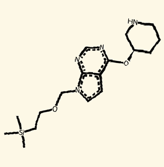 C[Si](C)(C)CCOCn1ccc2c(O[C@@H]3CCCNC3)ncnc21